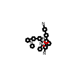 N#Cc1ccc(-c2ccc3c4ccc(-c5ccc(C#N)cc5)cc4n(-c4ccc(-c5ccc6c7ccccc7n(-c7ccccc7)c6c5)cc4-c4nc(-c5ccccc5)nc(-c5ccccc5)n4)c3c2)cc1